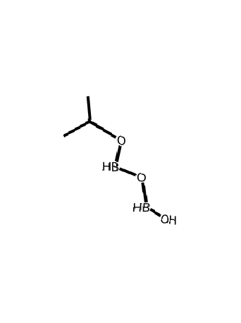 CC(C)OBOBO